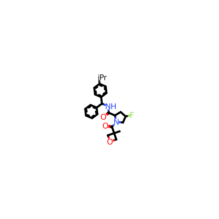 CC(C)c1ccc(C(NC(=O)C2CC(F)CN2C(=O)C2(C)COC2)c2ccccc2)cc1